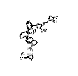 COc1nc(-c2cccc(-c3ccnc(-c4ccc5c(c4)CCC[C@@H]5NC[C@@H]4CCC(=O)N4)c3Cl)c2Cl)ccc1CNC[C@H]1CCC(=O)N1